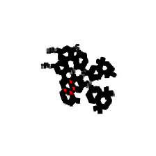 Cc1ccccc1-c1cc2c3c(c1)N(c1ccc(C(C)(C)C)cc1-c1ccccc1)c1c(ccc4sc5cc(C(C)(C)C)ccc5c14)B3c1cc3c(cc1N2c1ccc2c(c1)C(C)(C)CCC2(C)C)C(C)(C)CCC3(C)C